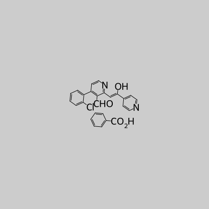 O=C(O)c1ccccc1.O=Cc1c(-c2ccccc2Cl)ccnc1C=C(O)c1ccncc1